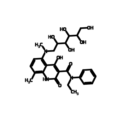 CCN(C(=O)c1c(O)c2c(N(C)CC(O)C(O)C(O)C(O)CO)ccc(C)c2[nH]c1=O)c1ccccc1